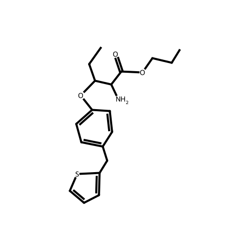 CCCOC(=O)C(N)C(CC)Oc1ccc(Cc2cccs2)cc1